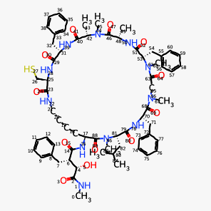 CNC(=O)[C@@H](O)[C@H](Cc1ccccc1)C(=O)N[C@H]1CCCCNC(=O)[C@@H](CS)NC(=O)[C@H](Cc2ccccc2)NC(=O)[C@H](C)N(C)C(=O)[C@H](C)NC(=O)[C@H](Cc2ccccc2)N(C)C(=O)CN(C)C(=O)[C@H](Cc2ccccc2)NC(=O)[C@H](CC(C)C)N(C)C1=O